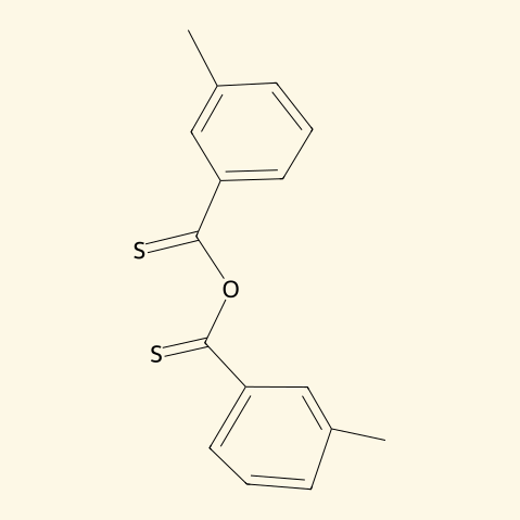 Cc1cccc(C(=S)OC(=S)c2cccc(C)c2)c1